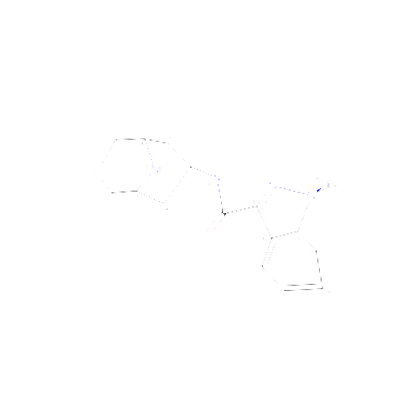 CC[C@H](C)n1nc(C(=O)NC2CC3COCC(C2)N3)c2ccccc21